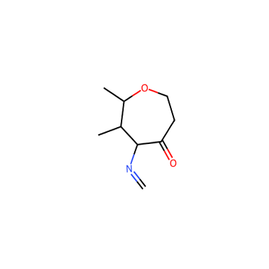 C=NC1C(=O)CCOC(C)C1C